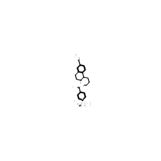 N#Cc1ccc2c(c1)CCC1C2CCCN1C(=O)c1ccc2[nH]cnc2c1